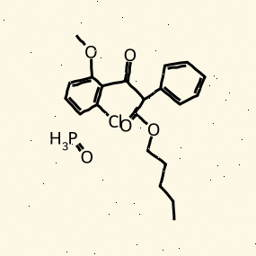 CCCCCOC(=O)C(C(=O)c1c(Cl)cccc1OC)c1ccccc1.O=[PH3]